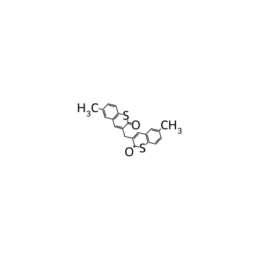 Cc1ccc2sc(=O)c(Cc3cc4cc(C)ccc4sc3=O)cc2c1